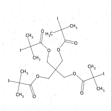 CC(C)(I)C(=O)OCC(COC(=O)C(C)(C)I)(COC(=O)C(C)(C)I)COC(=O)C(C)(C)I